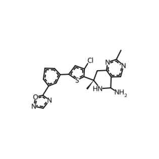 Cc1ncc2c(n1)C[C@@](C)(c1sc(-c3cccc(-c4ncno4)c3)cc1Cl)NC2N